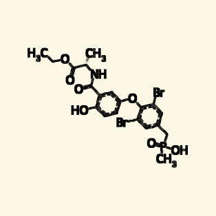 CCOC(=O)[C@H](C)NC(=O)c1cc(Oc2c(Br)cc(CP(C)(=O)O)cc2Br)ccc1O